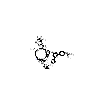 CC(C)Oc1ccc(-c2cc(O[C@@H]3C[C@H]4C(=O)N[C@]5(C(=O)NS(=O)(=O)C6(C)CC6)C[C@H]5/C=C\CC[C@H](C)C[C@@H](C)[C@H](NC(=O)OC(C)(C)C(F)(F)F)C(=O)N4C3)cc(-c3cncs3)n2)cc1